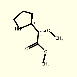 COC(=O)[C@@H](OC)[C@@H]1C[CH]CN1